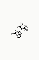 CC(C)C(=O)N1CCCC12CN([C@H](C(N)=O)[C@@H](C)O)C2=O